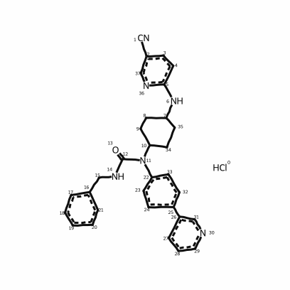 Cl.N#Cc1ccc(NC2CCC(N(C(=O)NCc3ccccc3)c3ccc(-c4cccnc4)cc3)CC2)nc1